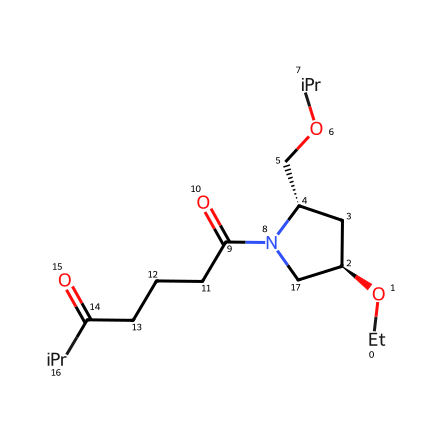 CCO[C@@H]1C[C@@H](COC(C)C)N(C(=O)CCCC(=O)C(C)C)C1